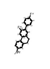 CCCc1ccc2c(c1)CCc1cc(-c3ccc(F)cc3)c(F)cc1-2